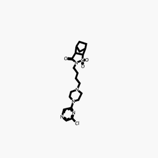 O=C1C2C3CCC(C3)C2S(=O)(=O)N1CCCCN1CCN(c2cncc(Cl)n2)CC1